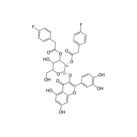 O=C(Cc1ccc(F)cc1)OC1C(O)C(CO)O[C@@H](Oc2c(-c3ccc(O)c(O)c3)oc3cc(O)cc(O)c3c2=O)[C@H]1OC(=O)Cc1ccc(F)cc1